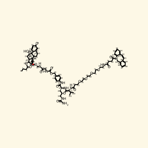 CCCC1O[C@@H]2C[C@H]3[C@@H]4CCC5=CC(=O)C=C[C@]5(C)[C@H]4[C@@H](O)C[C@]3(C)[C@]2(C(=O)COCNC(=O)CNC(=O)OCc2ccc(NC(=O)[C@H](CCCNC(N)=O)NC(=O)[C@@H](NC(=O)CCOCCOCCOCCOCCNC(=O)CCC(=O)N3Cc4ccccc4/C=C\c4ccccc43)C(C)C)cc2)O1